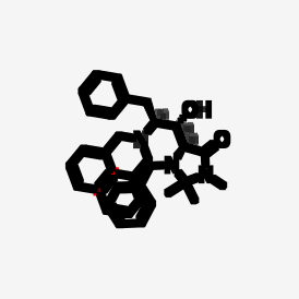 CN1C(=O)[C@H]([C@@H](O)[C@H](Cc2ccccc2)N(Cc2ccccc2)Cc2ccccc2)N(Cc2ccccc2)C1(C)C